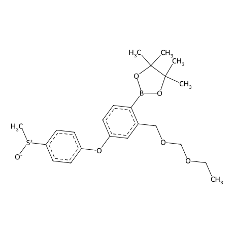 CCOCOCc1cc(Oc2ccc([S+](C)[O-])cc2)ccc1B1OC(C)(C)C(C)(C)O1